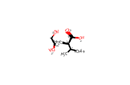 C=C(C(=O)O)C(C)C.OCCO